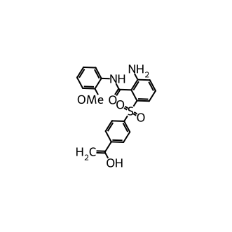 C=C(O)c1ccc(S(=O)(=O)c2cccc(N)c2C(=O)Nc2ccccc2OC)cc1